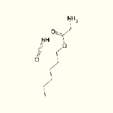 CCCCCCOC(=O)CN.N=C=O